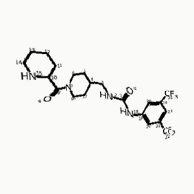 O=C(NCC1CCN(C(=O)C2CCCCN2)CC1)Nc1cc(C(F)(F)F)cc(C(F)(F)F)c1